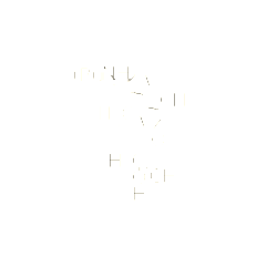 Cc1cc(OCCC(C)(C)O)cc(C)c1-c1cccc2c1CC[C@H]2NC(C)(C)C